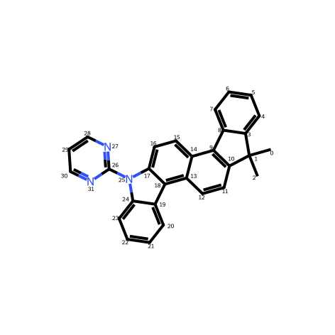 CC1(C)c2ccccc2-c2c1ccc1c2ccc2c1c1ccccc1n2-c1ncccn1